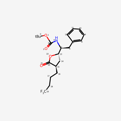 CC(C)(C)OC(=O)N[C@@H](Cc1ccccc1)[C@@H]1C[C@@H](CCCC(F)(F)F)C(=O)O1